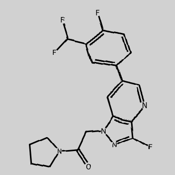 O=C(Cn1nc(F)c2ncc(-c3ccc(F)c(C(F)F)c3)cc21)N1CCCC1